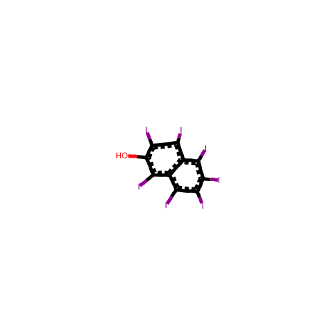 Oc1c(I)c(I)c2c(I)c(I)c(I)c(I)c2c1I